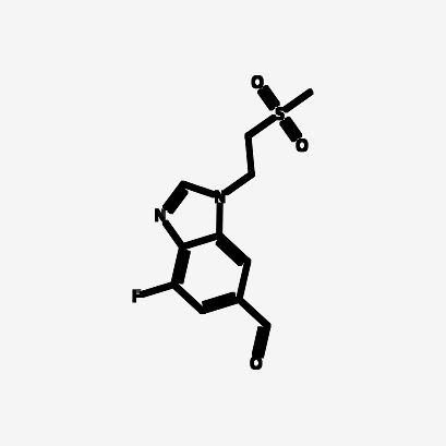 CS(=O)(=O)CCn1cnc2c(F)cc(C=O)cc21